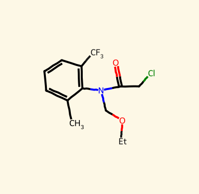 CCOCN(C(=O)CCl)c1c(C)cccc1C(F)(F)F